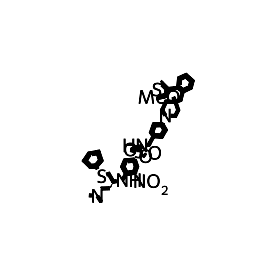 COC1(Cc2ccccc2-c2ccsc2)CCN(c2ccc(C(=O)NS(=O)(=O)c3ccc(N[C@H](CCN(C)C)CSc4ccccc4)c([N+](=O)[O-])c3)cc2)CC1